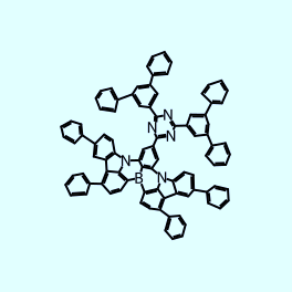 c1ccc(-c2cc(-c3ccccc3)cc(-c3nc(-c4cc(-c5ccccc5)cc(-c5ccccc5)c4)nc(-c4cc5c6c(c4)-n4c7ccc(-c8ccccc8)cc7c7c(-c8ccccc8)ccc(c74)B6c4ccc(-c6ccccc6)c6c7cc(-c8ccccc8)ccc7n-5c46)n3)c2)cc1